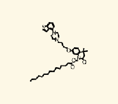 CCCCCCCCCCCCCCC(=O)OCN1C(=O)CC(C)(C)c2ccc(OCCCCN3CCN(c4cccc5sccc45)CC3)cc21